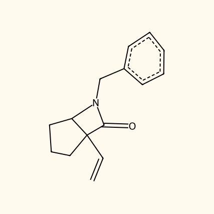 C=CC12CCCC1N(Cc1ccccc1)C2=O